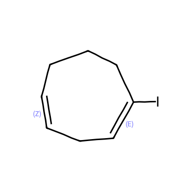 I/C1=C/C/C=C\CCC1